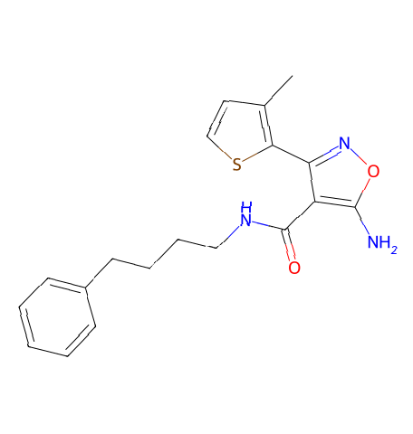 Cc1ccsc1-c1noc(N)c1C(=O)NCCCCc1ccccc1